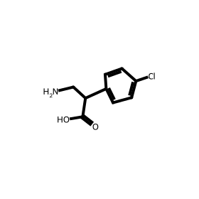 NCC(C(=O)O)c1ccc(Cl)cc1